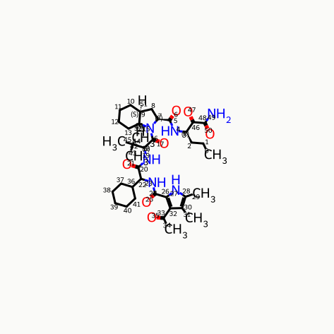 CCC[C@@H](NC(=O)[C@@H]1C[C@@H]2CCCC[C@@H]2N1C(=O)[C@@H](NC(=O)C(NC(=O)c1[nH]c(C)c(C)c1C(C)=O)C1CCCCC1)C(C)(C)C)C(=O)C(N)=O